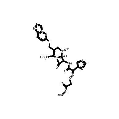 CC(C)(C)OC(=O)CO/N=C(\C(=O)NC1C(=O)N2C(C(=O)O)=C(CSc3ccc4nncn4n3)C[S+]([O-])[C@H]12)c1cscn1